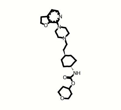 O=C(N[C@H]1CC[C@H](CCN2CCN(c3nccc4c3OCC4)CC2)CC1)OC1CCOCC1